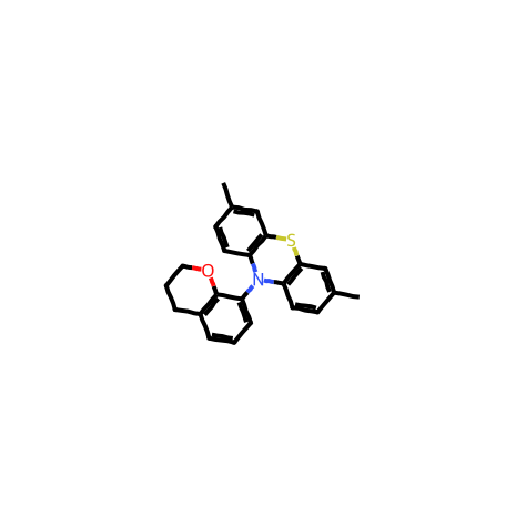 Cc1ccc2c(c1)Sc1cc(C)ccc1N2c1cccc2c1OCCC2